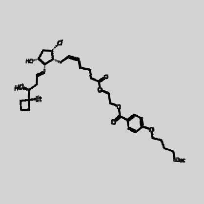 CCCCCCCCCCCCCCOc1ccc(C(=O)OCCOC(=O)CCC/C=C\C[C@@H]2[C@H](/C=C/C[C@H](O)C3(CC)CCC3)[C@H](O)C[C@@H]2Cl)cc1